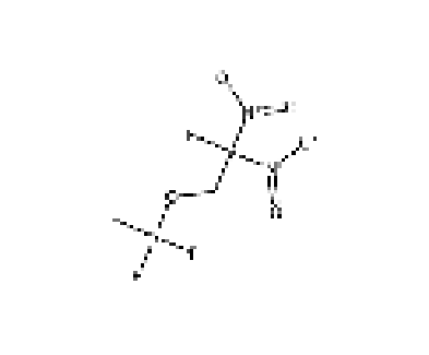 O=[N+]([O-])C(F)(COS(F)(F)F)[N+](=O)[O-]